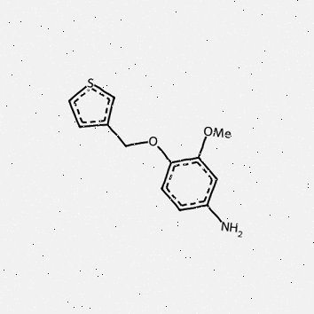 COc1cc(N)ccc1OCc1ccsc1